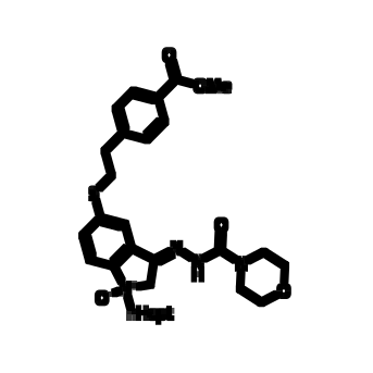 CCCCCCC[N+]1([O-])CC(=NNC(=O)N2CCOCC2)c2cc(SCCc3ccc(C(=O)OC)cc3)ccc21